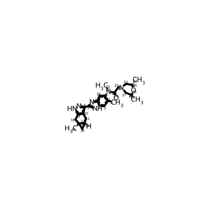 Cc1cc2[nH]c(-c3n[nH]c4c3C[C@@H]3C[C@]3(C)C4)nc2cc1N(C)C(=O)CN1C[C@H](C)O[C@@H](C)C1